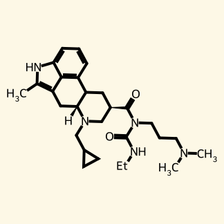 CCNC(=O)N(CCCN(C)C)C(=O)[C@@H]1CC2c3cccc4[nH]c(C)c(c34)C[C@H]2N(CC2CC2)C1